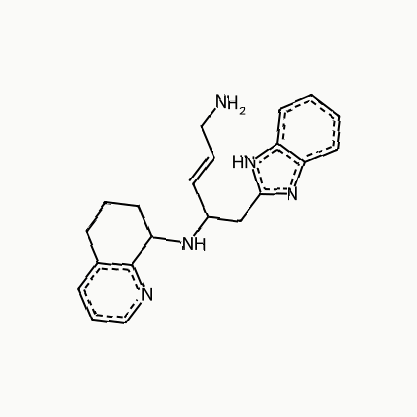 NC/C=C/C(Cc1nc2ccccc2[nH]1)NC1CCCc2cccnc21